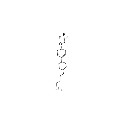 CCCCCC1CC=C(C2=CCC(OCC(F)(F)F)C=C2)CC1